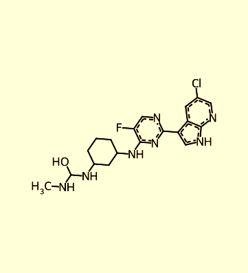 CNC(O)NC1CCCC(Nc2nc(-c3c[nH]c4ncc(Cl)cc34)ncc2F)C1